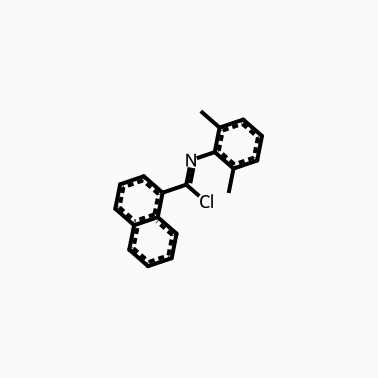 Cc1cccc(C)c1N=C(Cl)c1cccc2ccccc12